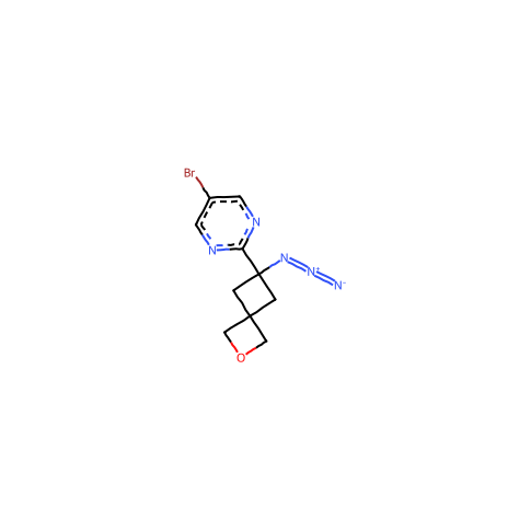 [N-]=[N+]=NC1(c2ncc(Br)cn2)CC2(COC2)C1